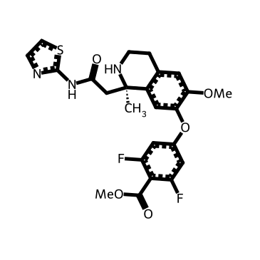 COC(=O)c1c(F)cc(Oc2cc3c(cc2OC)CCN[C@]3(C)CC(=O)Nc2nccs2)cc1F